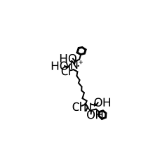 C[N+](CCO)(C(O)Cc1ccccc1)C(Cl)CCCCCCCCCC(Cl)[N+](C)(CCO)C(O)Cc1ccccc1